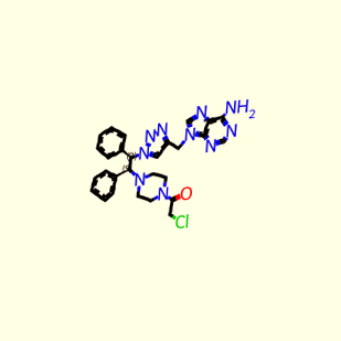 Nc1ncnc2c1ncn2Cc1cn([C@H](c2ccccc2)[C@H](c2ccccc2)N2CCN(C(=O)CCl)CC2)nn1